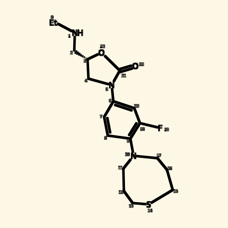 CCNC[C@H]1CN(c2ccc(N3CCCSCCC3)c(F)c2)C(=O)O1